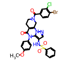 COc1ccc(-n2c(=O)c3c(n4ncc(NS(=O)(=O)c5ccccc5)c24)CN(C(=O)c2ccc(Br)c(Cl)c2)CC3)cc1